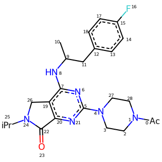 CC(=O)N1CCN(c2nc(NC(C)Cc3ccc(F)cc3)c3c(n2)C(=O)N(C(C)C)C3)CC1